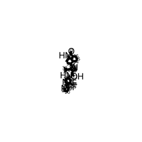 O=C1Nc2ccc(-n3ncc(C(O)Nc4cnc(-n5cccn5)c(C(F)(F)F)c4)c3C3CC3)c3cccc1c23